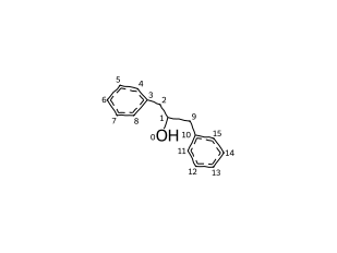 OC(Cc1ccccc1)Cc1ccccc1